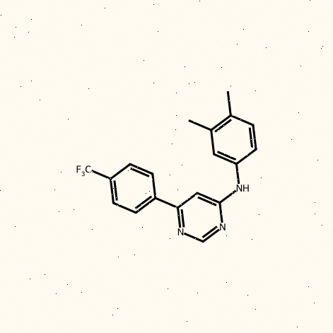 Cc1ccc(Nc2cc(-c3ccc(C(F)(F)F)cc3)ncn2)cc1C